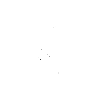 C1=CC2c3ccccc3N(c3c(-c4ccccc4)cccc3-c3ccc(-c4nc(-c5ccccc5)nc(-c5cccc(-n6c7ccccc7c7ccccc76)c5)n4)cc3)C2C=C1